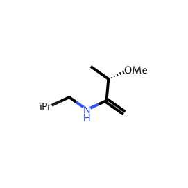 C=C(NCC(C)C)[C@H](C)OC